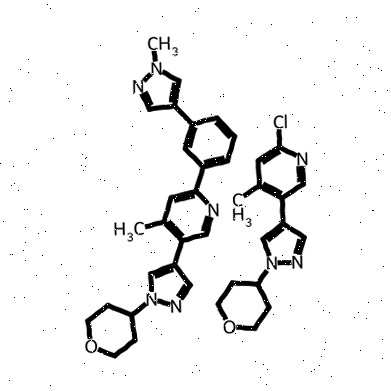 Cc1cc(-c2cccc(-c3cnn(C)c3)c2)ncc1-c1cnn(C2CCOCC2)c1.Cc1cc(Cl)ncc1-c1cnn(C2CCOCC2)c1